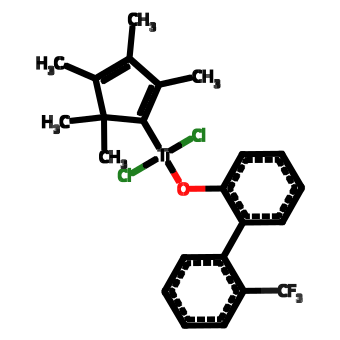 CC1=C(C)C(C)(C)[C]([Ti]([Cl])([Cl])[O]c2ccccc2-c2ccccc2C(F)(F)F)=C1C